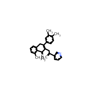 C=C(CC1=C(c2ccc(C)c(C)c2)Cc2cccc(C)c2C1=C)c1cccnc1